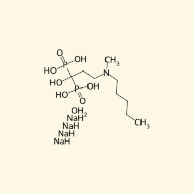 CCCCCN(C)CCC(O)(P(=O)(O)O)P(=O)(O)O.O.[NaH].[NaH].[NaH].[NaH]